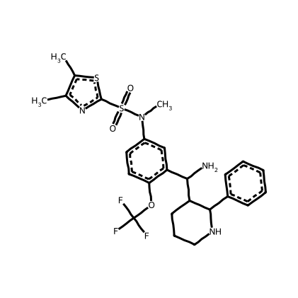 Cc1nc(S(=O)(=O)N(C)c2ccc(OC(F)(F)F)c(C(N)C3CCCNC3c3ccccc3)c2)sc1C